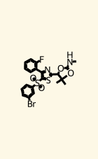 CNC(=O)OC(c1nc(-c2ccccc2F)c(S(=O)(=O)c2cccc(Br)c2)s1)C(C)(C)C